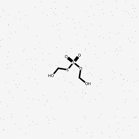 O=S(=O)(OCO)SCO